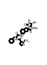 CNC(=O)C1(N2C[C@@H](C(C)C)NC2=O)Cc2ccc(NC(=O)[C@H](Cc3ccccc3)NC(=O)c3ccnn3C)cc2C1